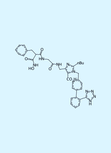 CCCCc1nc(CNC(=O)CNC(=O)C(Cc2ccccc2)C(=O)NO)c(C(=O)O)n1Cc1ccc(-c2ccccc2-c2nnn[nH]2)cc1